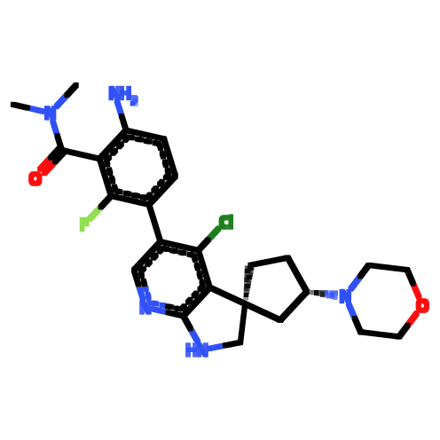 CN(C)C(=O)c1c(N)ccc(-c2cnc3c(c2Cl)[C@]2(CC[C@H](N4CCOCC4)C2)CN3)c1F